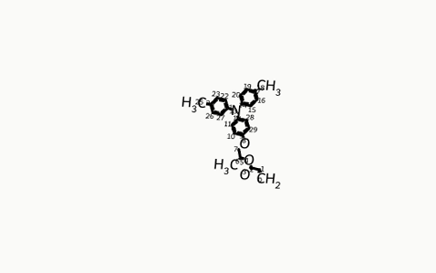 C=CC(=O)OC(C)COc1ccc(N(c2ccc(C)cc2)c2ccc(C)cc2)cc1